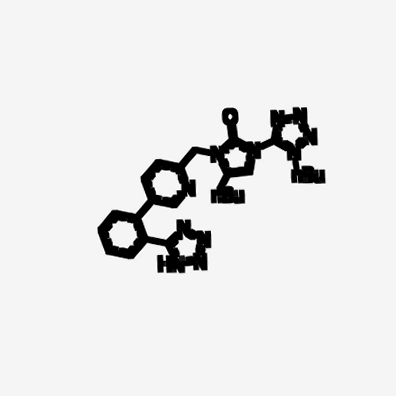 CCCCc1cn(-c2nnnn2CCCC)c(=O)n1Cc1ccc(-c2ccccc2-c2nnn[nH]2)cn1